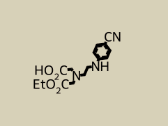 CCOC(=O)CN(CCNc1ccc(C#N)cc1)CC(=O)O